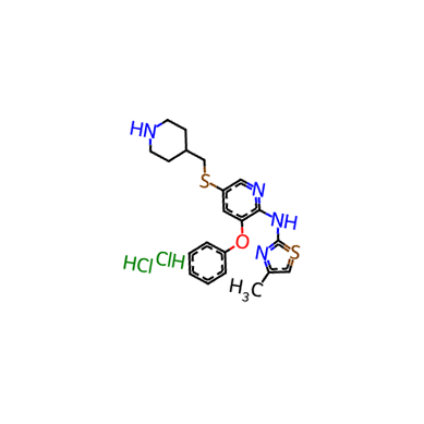 Cc1csc(Nc2ncc(SCC3CCNCC3)cc2Oc2ccccc2)n1.Cl.Cl